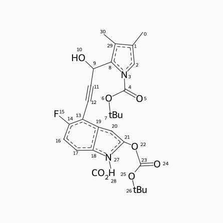 Cc1cn(C(=O)OC(C)(C)C)c(C(O)C#Cc2c(F)ccc3c2cc(OC(=O)OC(C)(C)C)n3C(=O)O)c1C